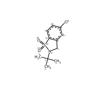 CC(C)(C)N1Cc2nc(Cl)ccc2S1(=O)=O